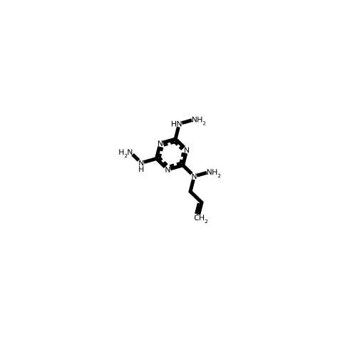 C=CCN(N)c1nc(NN)nc(NN)n1